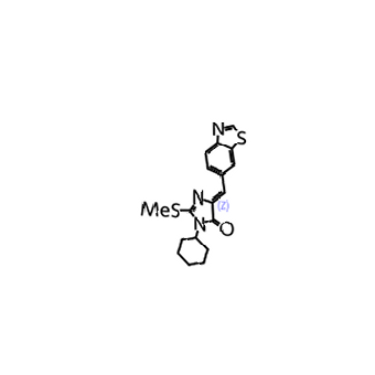 CSC1=N/C(=C\c2ccc3ncsc3c2)C(=O)N1C1CCCCC1